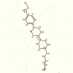 CCOc1ccc(C2CCC(C3CCC(CC/C=C/F)CC3)CC2)cc1